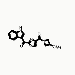 COC1CN(C(=O)c2csc(C(=O)c3c[nH]c4ccccc34)n2)C1